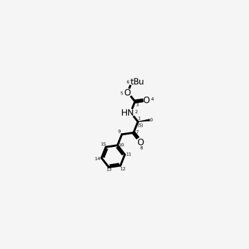 C[C@H](NC(=O)OC(C)(C)C)C(=O)Cc1ccccc1